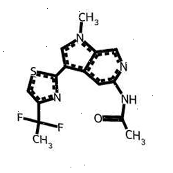 CC(=O)Nc1cc2c(-c3nc(C(C)(F)F)cs3)cn(C)c2cn1